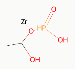 CC(O)O[PH](=O)O.[Zr]